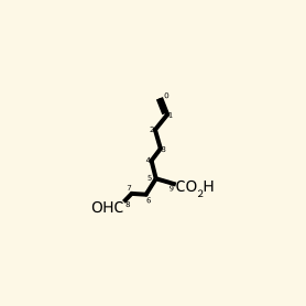 C=CCCCC(CCC=O)C(=O)O